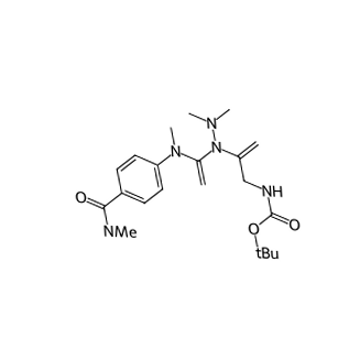 C=C(CNC(=O)OC(C)(C)C)N(C(=C)N(C)c1ccc(C(=O)NC)cc1)N(C)C